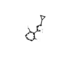 Clc1cccc(Cl)c1-c1cc(C2CC2)on1